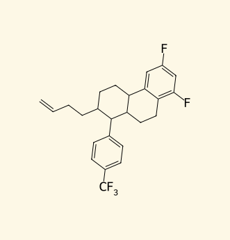 C=CCCC1CCC2c3cc(F)cc(F)c3CCC2C1c1ccc(C(F)(F)F)cc1